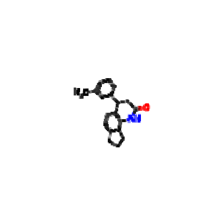 Cc1cccc(C2CC(=O)Nc3c2ccc2c3CCC2)c1